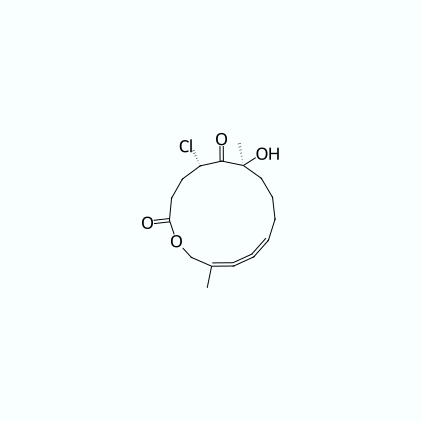 CC1=C=C=CCCC[C@](C)(O)C(=O)[C@@H](Cl)CCC(=O)OC1